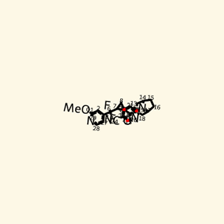 COc1cc(C(F)(F)C2CC2C(=O)N2CC3CCC(C2)N3c2ccc(C#N)cn2)ccn1